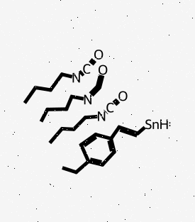 CCCCN=C=O.CCCCN=C=O.CCCCN=C=O.CCc1ccc(/C=[CH]/[SnH])cc1